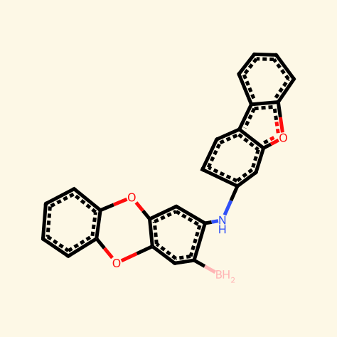 Bc1cc2c(cc1Nc1ccc3c(c1)oc1ccccc13)Oc1ccccc1O2